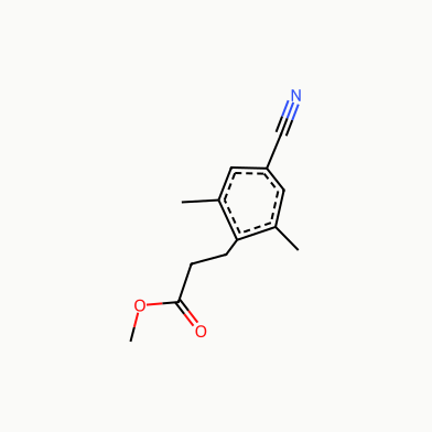 COC(=O)CCc1c(C)cc(C#N)cc1C